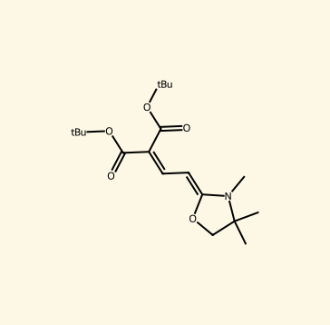 CN1/C(=C/C=C(C(=O)OC(C)(C)C)C(=O)OC(C)(C)C)OCC1(C)C